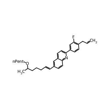 C=CCc1ccc(-c2ccc3cc(C=CCCCC(C)OCCCCC)ccc3n2)cc1F